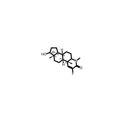 CN1C(=O)C(F)=C[C@@]2(C)C1CC[C@@H]1[C@H]2CC[C@]2(C)C(O)CC[C@@H]12